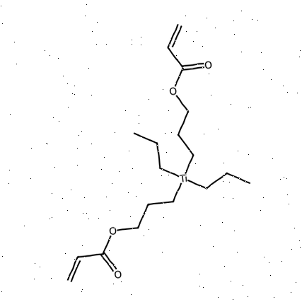 C=CC(=O)OCC[CH2][Ti]([CH2]CC)([CH2]CC)[CH2]CCOC(=O)C=C